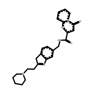 O=C(NCc1ccc2c(c1)N=C(CCN1CCCCC1)C2)c1cc(=O)n2ccccc2n1